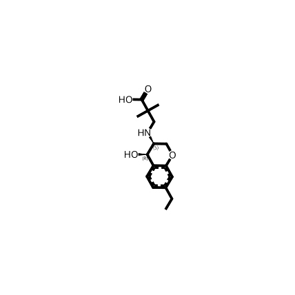 CCc1ccc2c(c1)OC[C@H](NCC(C)(C)C(=O)O)[C@@H]2O